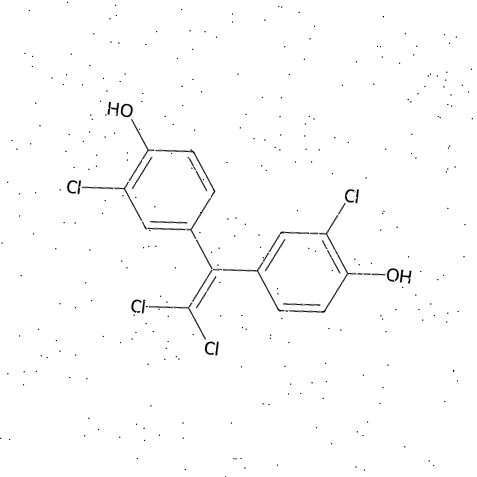 Oc1ccc(C(=C(Cl)Cl)c2ccc(O)c(Cl)c2)cc1Cl